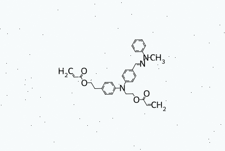 C=CC(=O)OCCc1ccc(N(CCOC(=O)C=C)c2ccc(C=NN(C)c3ccccc3)cc2)cc1